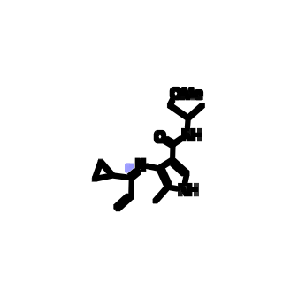 C=C/C(=N\c1c(C(=O)NC(C)COC)c[nH]c1C)C1CC1